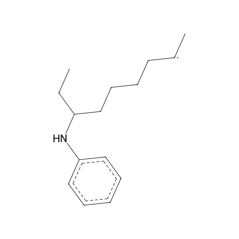 C[CH]CCCCC(CC)Nc1ccccc1